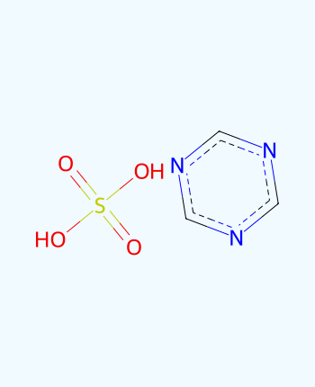 O=S(=O)(O)O.c1ncncn1